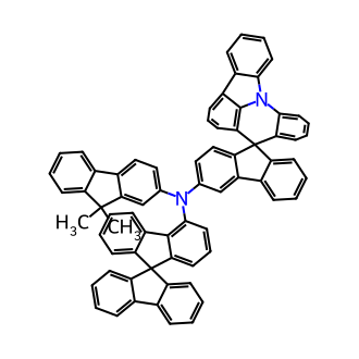 CC1(C)c2ccccc2-c2ccc(N(c3ccc4c(c3)-c3ccccc3C43c4ccccc4-n4c5ccccc5c5cccc3c54)c3cccc4c3-c3ccccc3C43c4ccccc4-c4ccccc43)cc21